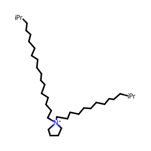 CC(C)CCCCCCCCCCCCCCCC[N+]1(CCCCCCCCCCCC(C)C)CCCC1